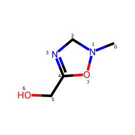 CN1CN=C(CO)O1